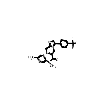 Cc1cnc(N(C)C(=O)c2cn3c(-c4ccc(C(F)(F)F)cc4)cnc3cn2)cn1